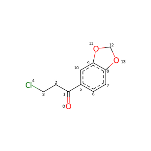 O=C(CCCl)c1ccc2c(c1)OCO2